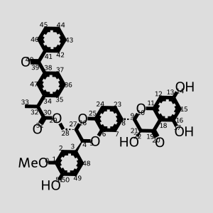 COc1cc([C@@H]2Oc3cc([C@@H]4Oc5cc(O)cc(O)c5C(=O)[C@H]4O)ccc3O[C@H]2COC(=O)C(C)c2cccc(C(=O)c3ccccc3)c2)ccc1O